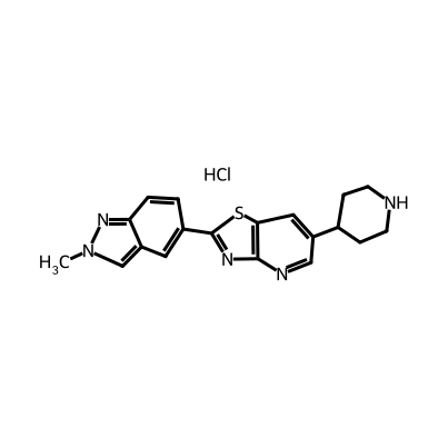 Cl.Cn1cc2cc(-c3nc4ncc(C5CCNCC5)cc4s3)ccc2n1